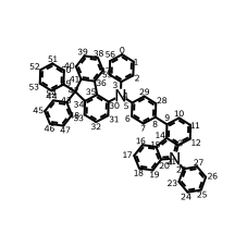 c1ccc(N(c2ccc(-c3cccc4c3c3ccccc3n4-c3ccccc3)cc2)c2cccc3c2-c2ccccc2C3(c2ccccc2)c2ccccc2)cc1